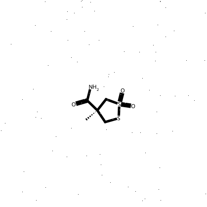 C[C@@]1(C(N)=O)CSS(=O)(=O)C1